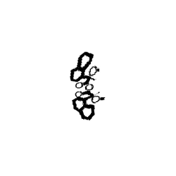 CO[C@](C)(C(=O)OC(=O)[C@@](C)(OC)c1cccc2ccccc12)c1cccc2ccccc12